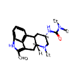 CCN(CC)C(=O)N[C@H]1CC2c3cccc4[nH]c(C=O)c(c34)C[C@H]2N(CC)C1